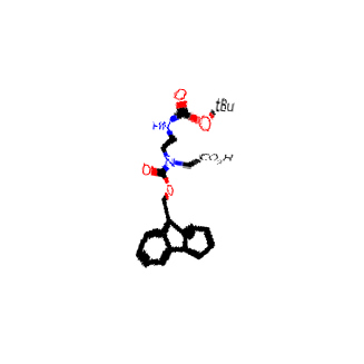 CC(C)(C)OC(=O)NCCN(CC(=O)O)C(=O)OCC1c2ccccc2-c2ccccc21